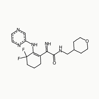 N=C(C(=O)NCC1CCOCC1)C1=C(Nc2cnccn2)C(F)(F)CCC1